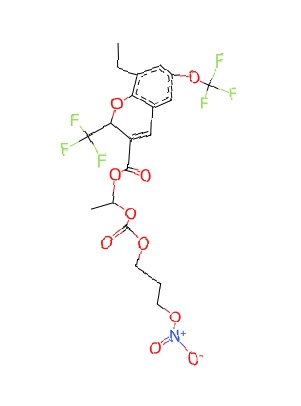 CCc1cc(OC(F)(F)F)cc2c1OC(C(F)(F)F)C(C(=O)OC(C)OC(=O)OCCCO[N+](=O)[O-])=C2